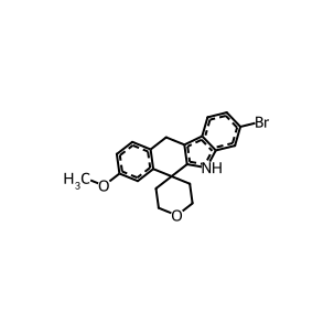 COc1ccc2c(c1)C1(CCOCC1)c1[nH]c3cc(Br)ccc3c1C2